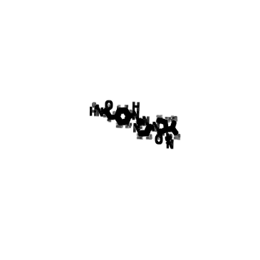 CNC(=O)Cc1ccc(Nc2nccc(N3CC[C@@](C#N)(C(C)C)C3=O)n2)cc1